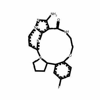 Nc1nn2ccc3nc2c1C(=O)NCCOc1ccc(F)cc1C1CCCN31